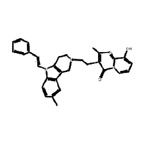 Cc1ccc2c(c1)c1c(n2/C=C/c2ccccc2)CCN(CCc2c(C)nc3c(O)cccn3c2=O)C1